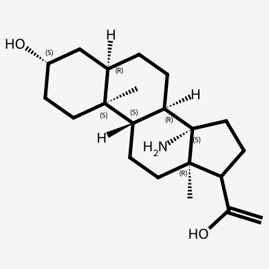 C=C(O)C1CC[C@]2(N)[C@@H]3CC[C@@H]4C[C@@H](O)CC[C@]4(C)[C@H]3CC[C@]12C